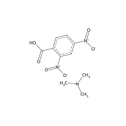 CN(C)C.O=C(O)c1ccc([N+](=O)[O-])cc1[N+](=O)[O-]